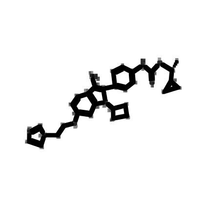 C[C@@H](OC(=O)Nc1ccc(-c2c(N)c3ccc(OCCn4ccnc4)cc3n2C2CCC2)cc1)C1CC1